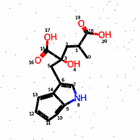 CC(C[C@](O)(Cc1c[nH]c2ccccc12)C(=O)O)C(=O)O